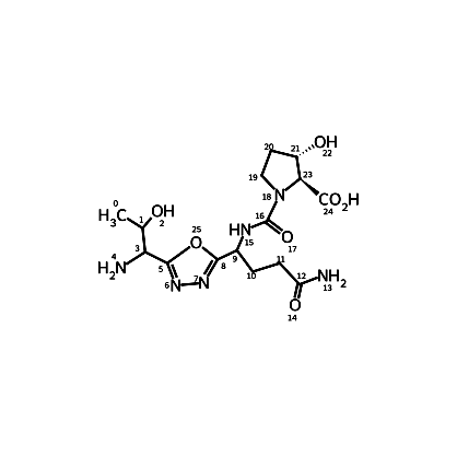 CC(O)C(N)c1nnc(C(CCC(N)=O)NC(=O)N2CC[C@H](O)[C@H]2C(=O)O)o1